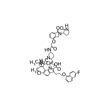 Cc1nn(C)c(C)c1-c1c(Cl)ccc2c(CCCOc3cccc4cc(F)ccc34)c(C(=O)O)n(CCC3CCC(NC(=O)COc4cccc5c4CN(C4CCCNC4=O)C5=O)CN3C)c12